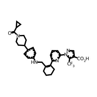 O=C(O)c1cnn(-c2cccc(C3=C(CNc4ccc(C5CCN(C(=O)C6CC6)CC5)cc4)CCCC3)n2)c1C(F)(F)F